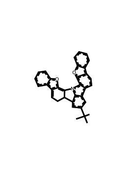 CC(C)(C)c1cc2c3c(c1)c1ccc4c5ccccc5oc4c1n3C1=c3oc4ccccc4c3=CCC12